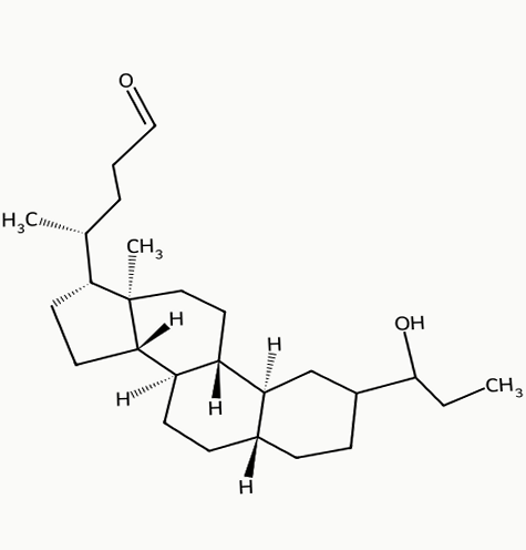 CCC(O)C1CC[C@@H]2CC[C@@H]3[C@H](CC[C@]4(C)[C@@H]([C@H](C)CCC=O)CC[C@@H]34)[C@H]2C1